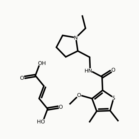 CCN1CCCC1CNC(=O)c1sc(C)c(C)c1OC.O=C(O)/C=C/C(=O)O